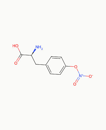 N[C@@H](Cc1ccc(O[N+](=O)[O-])cc1)C(=O)O